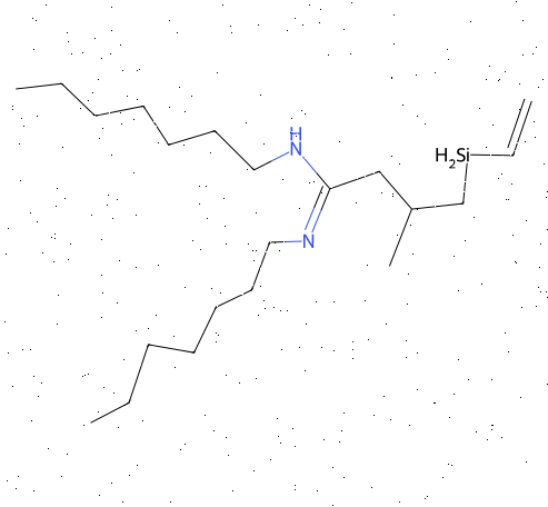 C=C[SiH2]CC(C)CC(=NCCCCCCC)NCCCCCCC